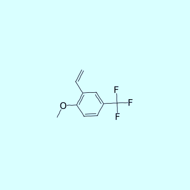 C=Cc1cc(C(F)(F)F)ccc1OC